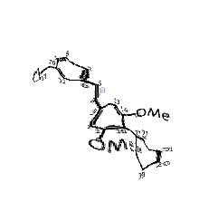 COc1cc(/C=C/c2cccc(Cl)c2)cc(OC)c1C1CCCCC1